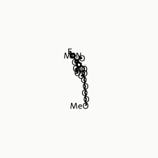 CNC(=O)c1c(-c2ccc(F)cc2)oc2cc3c(cc12)[C@H](C)OC(OC(=O)COCCOCCOCCOCCOC)CN3S(C)(=O)=O